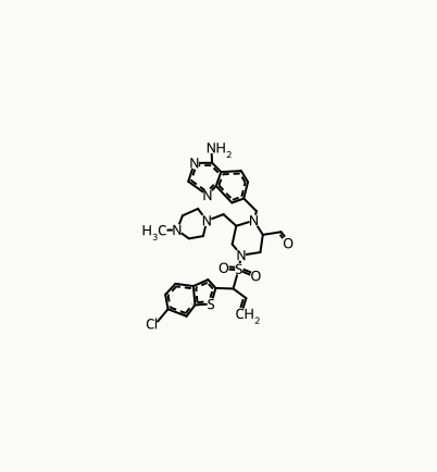 C=CC(c1cc2ccc(Cl)cc2s1)S(=O)(=O)N1CC(C=O)N(Cc2ccc3c(N)ncnc3c2)C(CN2CCN(C)CC2)C1